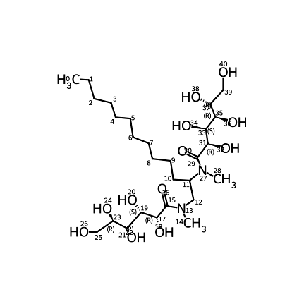 CCCCCCCCCCCC(CN(C)C(=O)[C@H](O)[C@@H](O)[C@H](O)[C@H](O)CO)N(C)C(=O)[C@H](O)[C@@H](O)[C@H](O)[C@H](O)CO